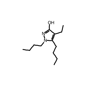 CCCCc1c(CC)c(O)nn1CCCC